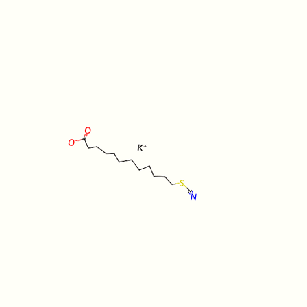 N#CSCCCCCCCCCCCC(=O)[O-].[K+]